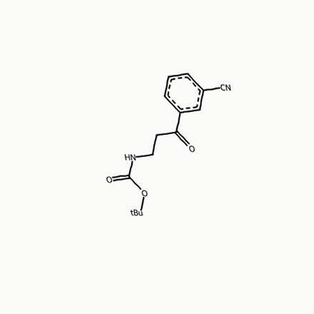 CC(C)(C)OC(=O)NCCC(=O)c1cccc(C#N)c1